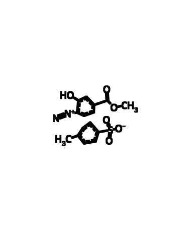 COC(=O)c1ccc([N+]#N)c(O)c1.Cc1ccc(S(=O)(=O)[O-])cc1